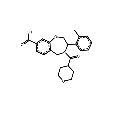 Cc1ccccc1C1COc2cc(C(=O)O)ccc2CN1C(=O)C1CCOCC1